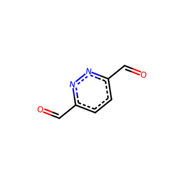 O=Cc1ccc(C=O)nn1